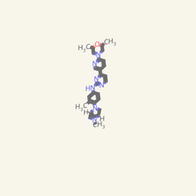 Cc1cc(Nc2nccc(-c3ccc(N4CC(C)OC(C)C4)nc3)n2)ccc1N1C[C@@H]2C[C@H]1CN2C